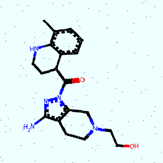 Cc1cccc2c1NCCC2C(=O)n1nc(N)c2c1CN(CCO)CC2